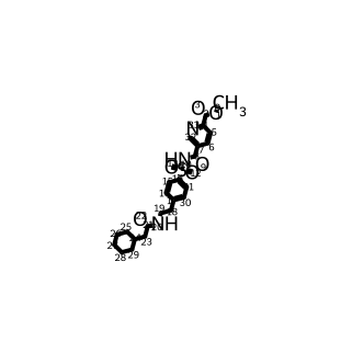 COC(=O)c1ccc(C(=O)NS(=O)(=O)c2ccc(CCNC(=O)CC3CCCCC3)cc2)cn1